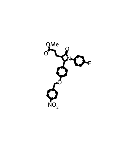 COC(=O)CCC1C(=O)N(c2ccc(F)cc2)C1c1ccc(OCc2ccc([N+](=O)[O-])cc2)cc1